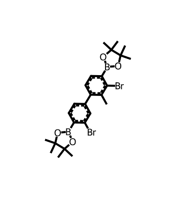 Cc1c(-c2ccc(B3OC(C)(C)C(C)(C)O3)c(Br)c2)ccc(B2OC(C)(C)C(C)(C)O2)c1Br